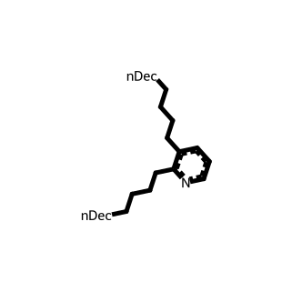 CCCCCCCCCCCCCCc1cccnc1CCCCCCCCCCCCCC